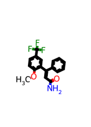 COc1ccc(C(F)(F)F)cc1C(=CC(N)=O)c1ccccc1